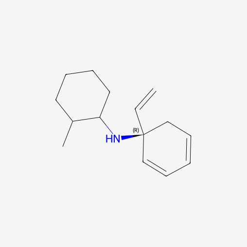 C=C[C@@]1(NC2CCCCC2C)C=CC=CC1